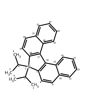 CC(C)[Si]1(C(C)C)c2ccc3ccccc3c2-c2c1ccc1ccccc21